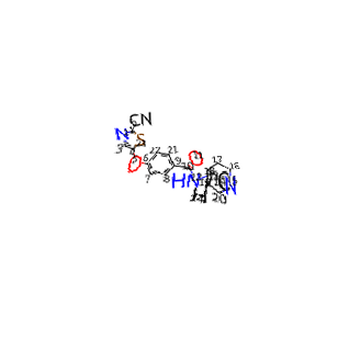 N#Cc1ncc(Oc2ccc(C(=O)N[C@H]3CN4CCC3CC4)cc2)s1